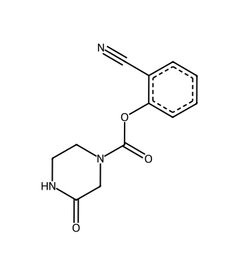 N#Cc1ccccc1OC(=O)N1CCNC(=O)C1